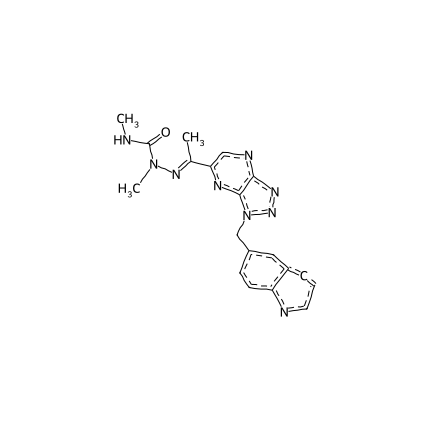 CNC(=O)N(C)N=C(C)c1cnc2nnn(Cc3ccc4ncccc4c3)c2n1